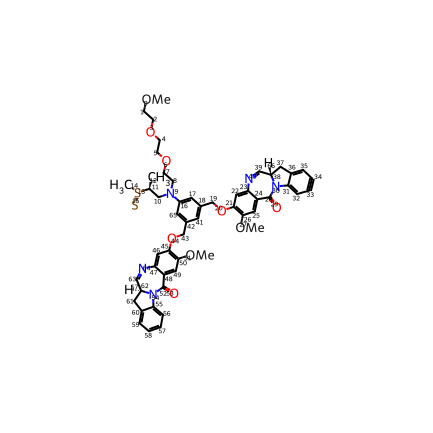 COCCOCCOCCN(C[C@H](C)S(C)=S)c1cc(COc2cc3c(cc2OC)C(=O)N2c4cc#ccc4C[C@H]2C=N3)cc(COc2cc3c(cc2OC)C(=O)N2c4ccccc4C[C@H]2C=N3)c1